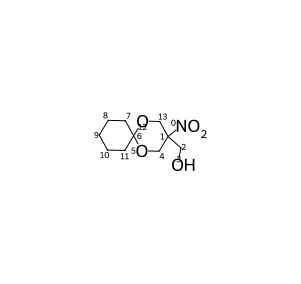 O=[N+]([O-])C1(CO)COC2(CCCCC2)OC1